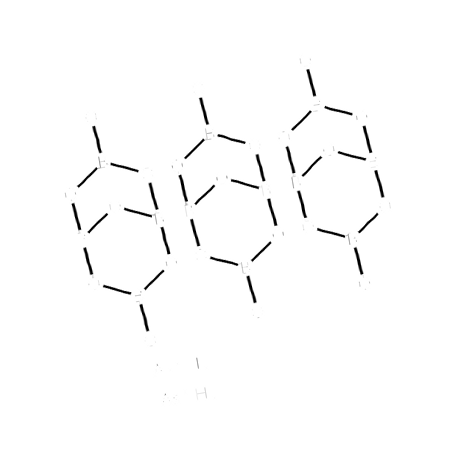 [AsH3+3].[AsH3+3].[O-]B1OB2OB([O-])OB(O1)O2.[O-]B1OB2OB([O-])OB(O1)O2.[O-]B1OB2OB([O-])OB(O1)O2